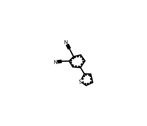 N#Cc1ccc(-c2cccs2)cc1C#N